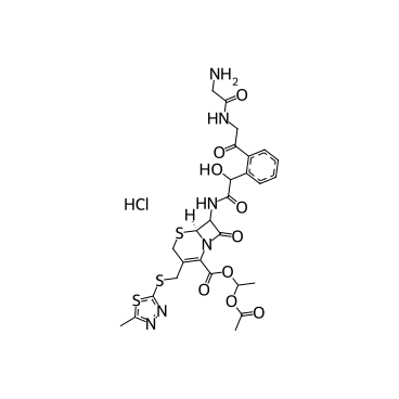 CC(=O)OC(C)OC(=O)C1=C(CSc2nnc(C)s2)CS[C@H]2C(NC(=O)C(O)c3ccccc3C(=O)CNC(=O)CN)C(=O)N12.Cl